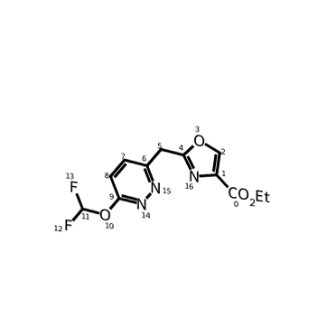 CCOC(=O)c1coc(Cc2ccc(OC(F)F)nn2)n1